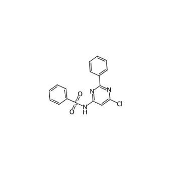 O=S(=O)(Nc1cc(Cl)nc(-c2ccccc2)n1)c1ccccc1